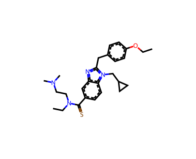 CCOc1ccc(Cc2nc3cc(C(=S)N(CC)CCN(C)C)ccc3n2CC2CC2)cc1